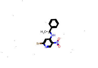 C[C@@H](Nc1cc(Br)ncc1[N+](=O)[O-])c1ccccc1